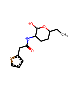 CCC1CCC(NC(=O)Cc2cccs2)B(O)O1